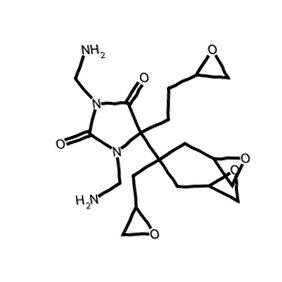 NCN1C(=O)N(CN)C(CCC2CO2)(C(CC2CO2)(CC2CO2)CC2CO2)C1=O